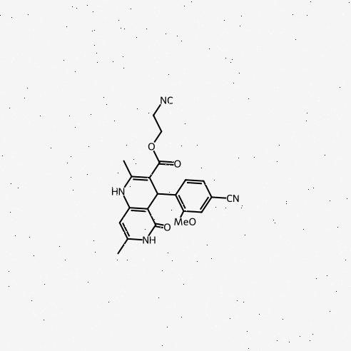 [C-]#[N+]CCOC(=O)C1=C(C)Nc2cc(C)[nH]c(=O)c2C1c1ccc(C#N)cc1OC